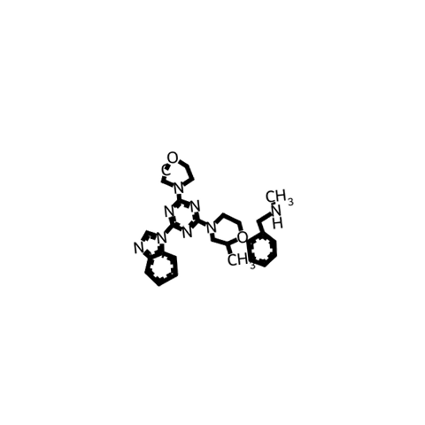 CC1CN(c2nc(N3CCOCC3)nc(-n3cnc4ccccc43)n2)CCO1.CNCc1ccccc1